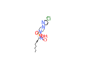 CCCCCC#CC(CS(=O)(=O)N1CCN(c2ccc(Cl)cn2)CC1)N(O)C=O